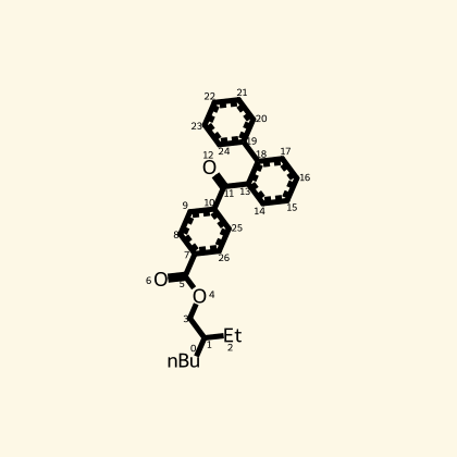 CCCCC(CC)COC(=O)c1ccc(C(=O)c2ccccc2-c2ccccc2)cc1